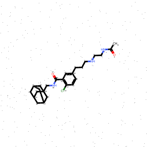 CC(=O)NCCNCCCc1ccc(Cl)c(C(=O)NCC23CC4CC(CC(C4)C2)C3)c1